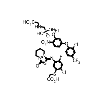 CCOc1cc(Oc2ccc(C(F)(F)F)cc2Cl)ccc1[N+](=O)[O-].O=C(O)CNCP(=O)(O)O.O=C(O)CSc1cc(N=c2sc(=O)n3n2CCCC3)c(F)cc1Cl